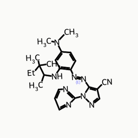 CCC(C)(C)C(C)Nc1cc(N(C)C)ccc1/N=N/c1c(C#N)cnn1-c1ncccn1